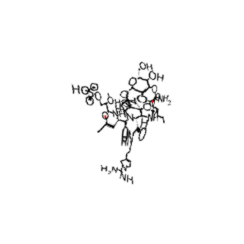 CCCCCC(=O)O[C@H]1[C@@H](O[C@@H]2C[C@@H]3[C@H](O)[C@@]4(C2)OC(=O)N[C@H]4[C@H](C(=O)NCCC2=CCN(C(=N)N)C2)N3C(=O)[C@@H](CC(C)C)NC(=O)C(COS(=O)(=O)O)OC)O[C@H](CO)[C@@H](O)[C@@H]1OC(N)=O